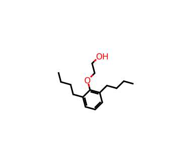 CCCCc1cccc(CCCC)c1OCCO